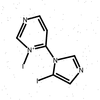 Ic1cncn1-c1ccnc[n+]1I